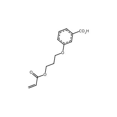 C=CC(=O)OCCCOc1cccc(C(=O)O)c1